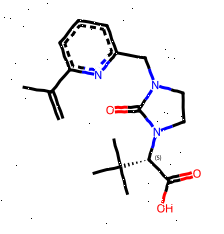 C=C(C)c1cccc(CN2CCN([C@H](C(=O)O)C(C)(C)C)C2=O)n1